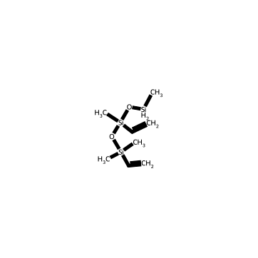 C=C[Si](C)(C)O[Si](C)(C=C)O[SiH2]C